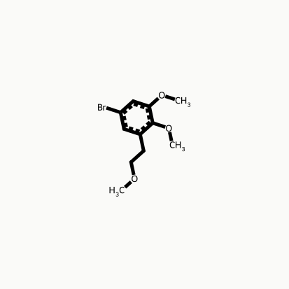 COCCc1cc(Br)cc(OC)c1OC